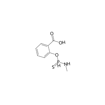 CN[PH](=S)Oc1ccccc1C(=O)O